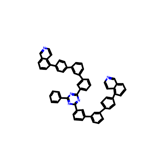 c1ccc(-c2nc(-c3cccc(-c4cccc(-c5ccc(-c6cccc7cnccc67)cc5)c4)c3)nc(-c3cccc(-c4cccc(-c5ccc(-c6cccc7cnccc67)cc5)c4)c3)n2)cc1